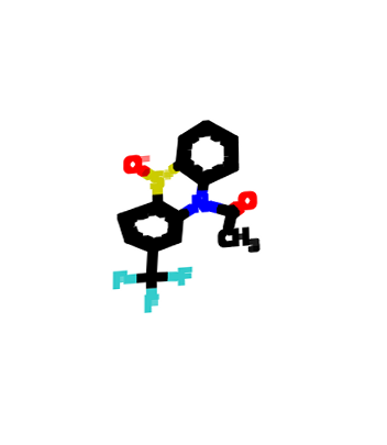 CC(=O)N1c2ccccc2[S+]([O-])c2ccc(C(F)(F)F)cc21